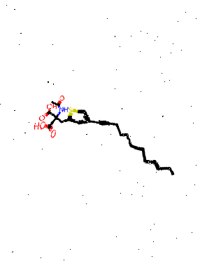 CCCCCCCCCCC#Cc1csc(CC(NC(C)=O)(C(=O)O)C(=O)O)c1